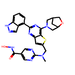 CN(Cc1cc2nc(-c3cccc4[nH]ncc34)nc(N3CC4COC(C4)C3)c2s1)c1ncc(C(=O)NO)cn1